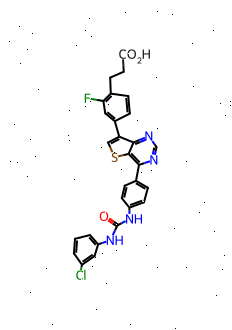 O=C(O)CCc1ccc(-c2csc3c(-c4ccc(NC(=O)Nc5cccc(Cl)c5)cc4)ncnc23)cc1F